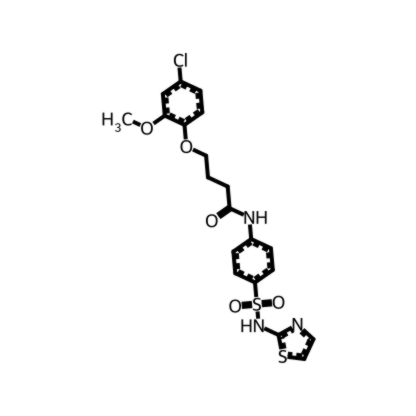 COc1cc(Cl)ccc1OCCCC(=O)Nc1ccc(S(=O)(=O)Nc2nccs2)cc1